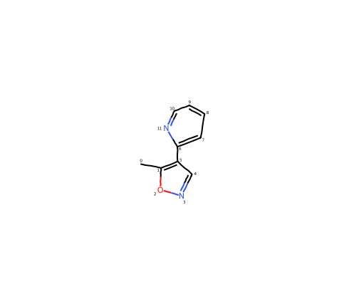 Cc1on[c]c1-c1ccccn1